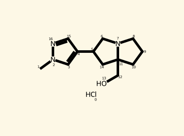 Cl.Cn1cc(C2CN3CCCC3(CO)C2)cn1